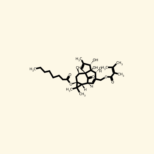 CCCCCCCC(=O)O[C@@]12C[C@@H](C)[C@]34C=C(C)[C@H](O)[C@@]3(O)[C@H](O)C(COC(=O)C(C)=C(C)C)=C[C@H](C4=O)[C@@H]1C2(C)C